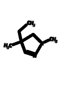 CCC1(C)C=NN(C)C1